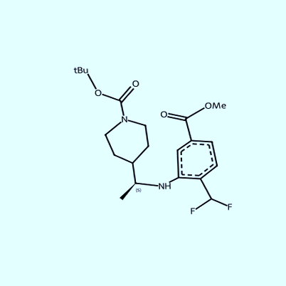 COC(=O)c1ccc(C(F)F)c(N[C@@H](C)C2CCN(C(=O)OC(C)(C)C)CC2)c1